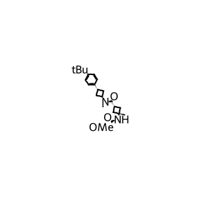 COC(=O)N[C@]1(C)C[C@H](C(=O)N(C)[C@H]2C[C@@H](c3ccc(C(C)(C)C)cc3)C2)C1